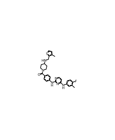 Cc1cc(Nc2ccnc(Nc3ccc(C(=O)N4CCC(NCc5sccc5C)CC4)cc3)n2)ccc1F